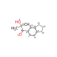 CC(C)(O)C(=O)c1ccc2c(c1)CCC2